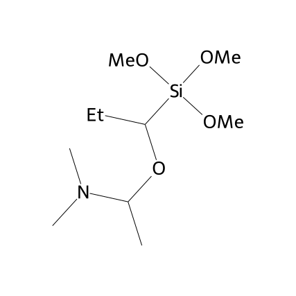 CCC(OC(C)N(C)C)[Si](OC)(OC)OC